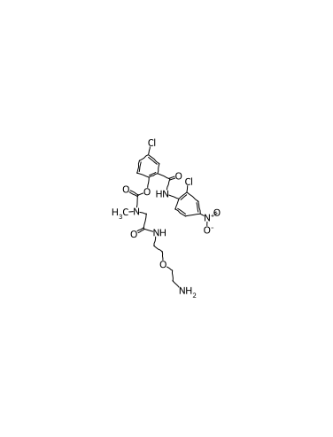 CN(CC(=O)NCCOCCN)C(=O)Oc1ccc(Cl)cc1C(=O)Nc1ccc([N+](=O)[O-])cc1Cl